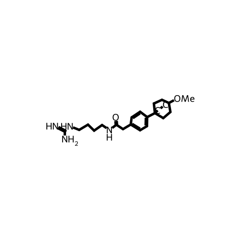 COC12CCC(c3ccc(CC(=O)NCCCCNC(=N)N)cc3)(CC1)CC2